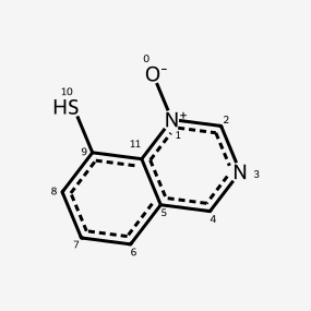 [O-][n+]1cncc2cccc(S)c21